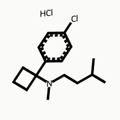 CC(C)CCN(C)C1(c2ccc(Cl)cc2)CCC1.Cl